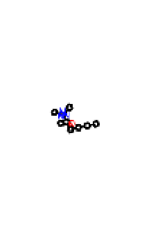 c1ccc(-c2ccc(-c3ccc(-c4cccc5c4oc4cc(-c6nc(-c7ccccc7)nc(-c7ccccc7)n6)c6ccccc6c45)cc3)cc2)cc1